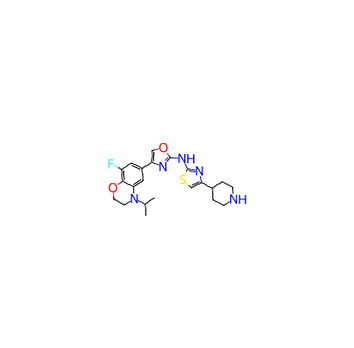 CC(C)N1CCOc2c(F)cc(-c3coc(Nc4nc(C5CCNCC5)cs4)n3)cc21